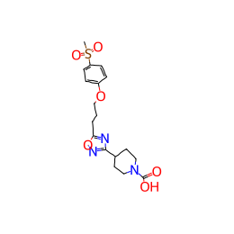 CS(=O)(=O)c1ccc(OCCCc2nc(C3CCN(C(=O)O)CC3)no2)cc1